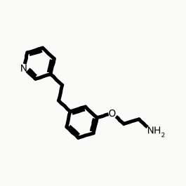 NCCOc1cccc(CCc2cccnc2)c1